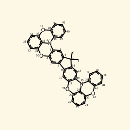 CC1(C)c2cc3c(cc2-c2cc4c(cc21)N1c2ccccc2Oc2cccc(c21)O4)Oc1cccc2c1N3c1ccccc1O2